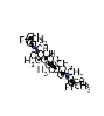 CCC(C)(C)OO/C=C(\C)C(=O)OC(C)OC(C)OC(=O)OC(C)OC(C)OC(=O)/C(C)=C/OOC(C)(C)CC